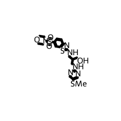 CSc1cnc(NCC(CO)CNc2nc3ccc(S(=O)(=O)N4CCOCC4)cc3s2)nc1